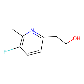 Cc1nc(CCO)ccc1F